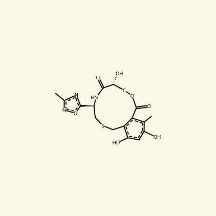 Cc1noc([C@@H]2CSCc3c(O)cc(O)c(C)c3C(=O)OC[C@@H](O)C(=O)N2)n1